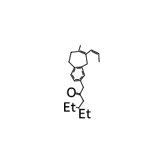 C/C=C\C1=C(C)CCc2ccc(CC(=O)CC(CC)CC)cc2C1